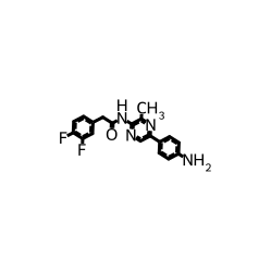 Cc1nc(-c2ccc(N)cc2)cnc1NC(=O)Cc1ccc(F)c(F)c1